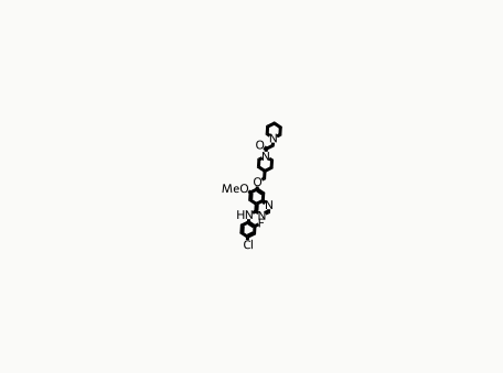 COc1cc2c(Nc3ccc(Cl)cc3F)ncnc2cc1OCC1CCN(C(=O)CN2CCCCC2)CC1